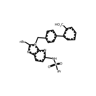 CCCCc1nc2ccc(NS(=O)(=O)C(C)C)nc2n1Cc1ccc(-c2ccccc2C(=O)O)cc1